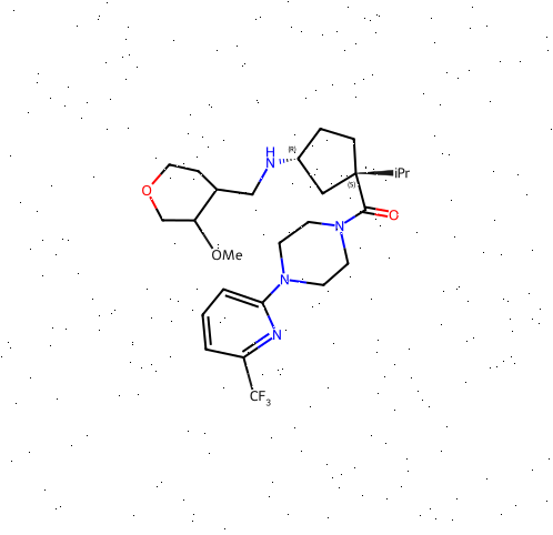 COC1COCCC1CN[C@@H]1CC[C@@](C(=O)N2CCN(c3cccc(C(F)(F)F)n3)CC2)(C(C)C)C1